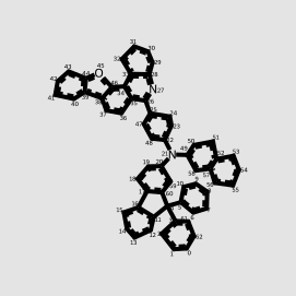 c1ccc(C2(c3ccccc3)c3ccccc3-c3ccc(N(c4ccc(-c5nc6ccccc6c6c5ccc5c7ccccc7oc56)cc4)c4ccc5ccccc5c4)cc32)cc1